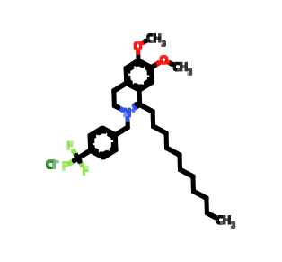 CCCCCCCCCCCC1=[N+](Cc2ccc(C(F)(F)F)cc2)CCc2cc(OC)c(OC)cc21.[Cl-]